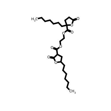 CCCCCCCC1CC(C(=O)OCCOC(=O)C2(CCCCCCC)CCC(=O)O2)C(=O)O1